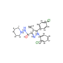 N#CC1C(C(=O)NN2CCCCC2)=NN(c2ccccc2Cl)C1c1ccc(Cl)cc1